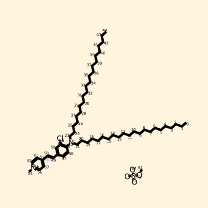 CCCCCCCCCCCCCCCCCCCCCCN(CCCCCCCCCCCCCCCCCCCCCC)c1ccc(/C=C/c2cc[n+](C)cc2)cc1Cl.COS(=O)(=O)[O-]